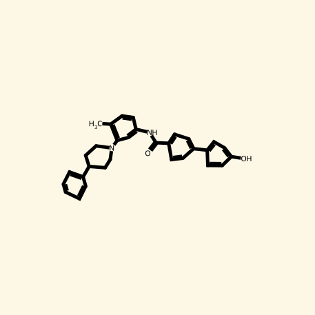 Cc1ccc(NC(=O)c2ccc(-c3ccc(O)cc3)cc2)cc1N1CCC(c2ccccc2)CC1